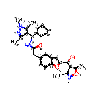 Cc1noc(C)c1C(O)c1cc2cc(CC(=O)NC(c3ccccc3)c3c(C)nn(C)c3C)ccc2o1